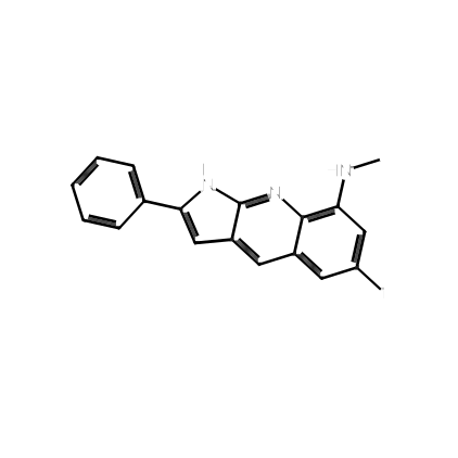 CNc1cc(I)cc2cc3cc(-c4ccccc4)[nH]c3nc12